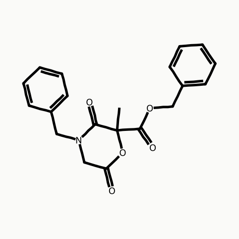 CC1(C(=O)OCc2ccccc2)OC(=O)CN(Cc2ccccc2)C1=O